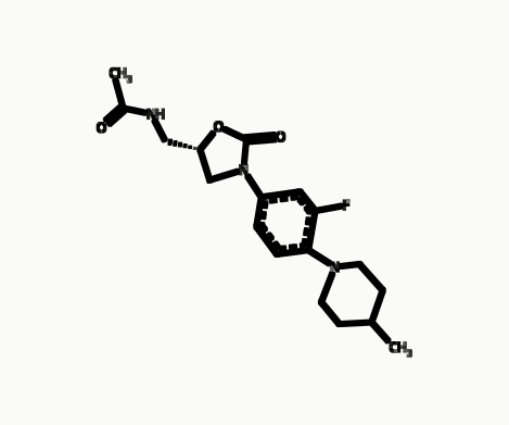 CC(=O)NC[C@H]1CN(c2ccc(N3CCC(C)CC3)c(F)c2)C(=O)O1